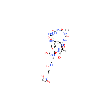 CC[C@H](C)[C@@H]1NC(=O)CNC(=O)[C@H]2Cc3c([nH]c4cc(ccc34)OC(CCCCCCNC(=O)CCCCCN3C(=O)CCC3=O)([C@@H]3C[C@@H](O)CN3)C(=O)N[C@@H]([C@@H](C)[C@@H](O)CO)C(=O)N2)[S+]([O-])C(C(N)=O)NC(=O)CNC1=O